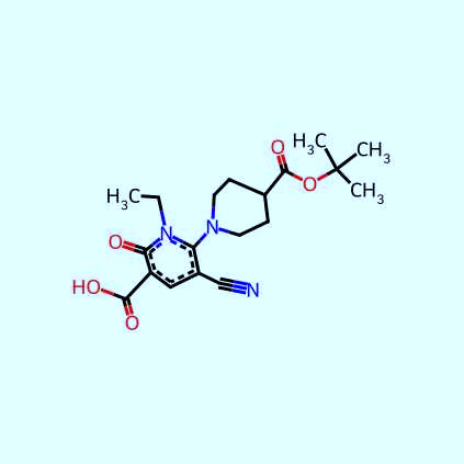 CCn1c(N2CCC(C(=O)OC(C)(C)C)CC2)c(C#N)cc(C(=O)O)c1=O